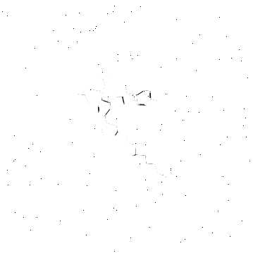 CC[C@@H](CC(=O)OCOC(=O)CCCCN)c1ccc(N(CC(C)C)CC(C)C)c(NC(=O)Nc2ccc(C)cc2)c1